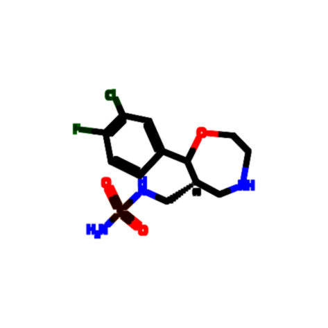 NS(=O)(=O)NC[C@H]1CNCCOC1c1ccc(F)c(Cl)c1